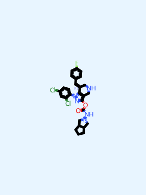 O=C(NN1CC2CCCC2C1)Oc1nn(-c2ccc(Cl)cc2Cl)c2c1CNC/C2=C\c1ccc(F)cc1